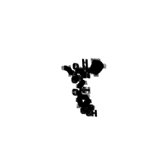 CCCn1c(=O)c2[nH]c(C34CC5CC(CC3C5)C4)nc2n(CCNC(=O)c2ccc(S(=O)(=O)O)cc2)c1=O